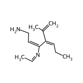 C=C(C)C(=C/CC)/C(=C\CN)/N=C\C